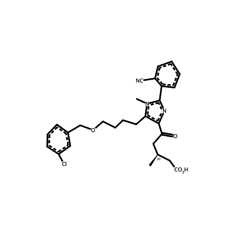 C[C@H](CC(=O)O)CC(=O)c1nc(-c2ccccc2C#N)n(C)c1CCCCOCc1cccc(Cl)c1